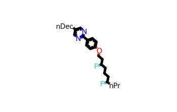 CCCCCCCCCCc1cnc(-c2ccc(OCCC(F)CCCC(F)CCC)cc2)nc1